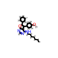 CCCCCCCNc1ncnc2oc(-c3ccccc3)c(-c3ccc(OC)cc3)c12